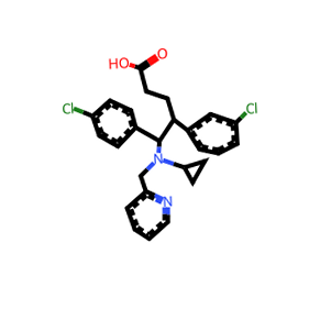 O=C(O)CCC(c1cccc(Cl)c1)C(c1ccc(Cl)cc1)N(Cc1ccccn1)C1CC1